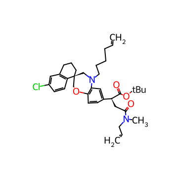 C=CCCCCN1C[C@@]2(CCCc3cc(Cl)ccc32)COc2ccc([C@H](CC(=O)N(C)CC=C)C(=O)OC(C)(C)C)cc21